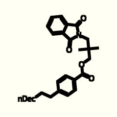 CCCCCCCCCCCCc1ccc(C(=O)OCC(C)(C)CN2C(=O)c3ccccc3C2=O)cc1